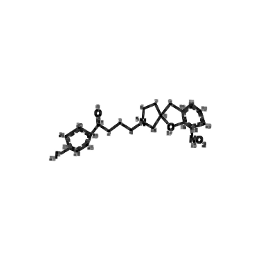 O=C(CCCN1CCC2(Cc3cccc([N+](=O)[O-])c3O2)C1)c1ccc(F)cc1